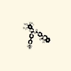 Cc1cc(C[C@@H](OC(=O)N2CCC(N3CCc4ccccc4NC3=O)CC2)C(=O)N2CCC(C3CCN(S(=O)(=O)C(C)C)CC3)CC2)cc(C)c1O